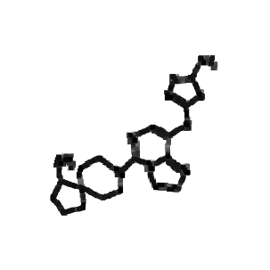 Nc1nnc(Sc2cnc(N3CCC4(CCCC4N)CC3)n3ccnc23)s1